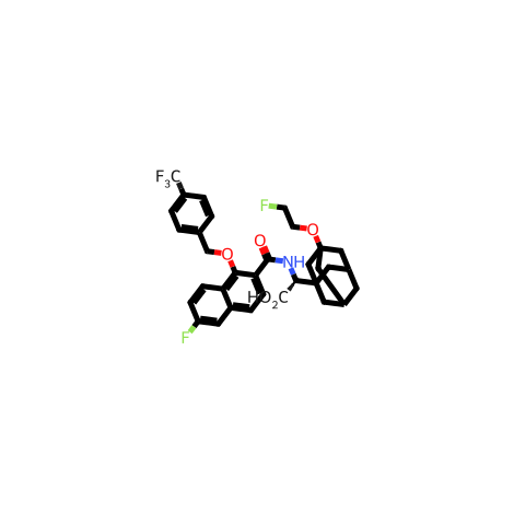 O=C(N[C@H](C(=O)O)C12CC3CC(CC(OCCF)(C3)C1)C2)c1ccc2cc(F)ccc2c1OCc1ccc(C(F)(F)F)cc1